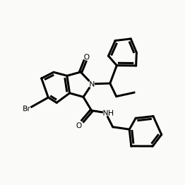 CCC(c1ccccc1)N1C(=O)c2ccc(Br)cc2C1C(=O)NCc1ccccc1